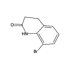 O=C1CCc2cccc(Br)c2N1